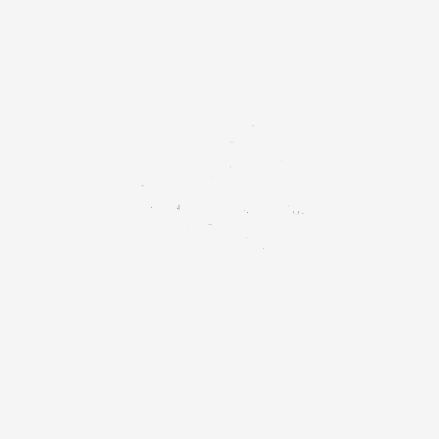 COc1cc(C)c(Cl)cc1-c1cc(C(=O)NN2CCCCC2)c(C)n1CC1COCCO1